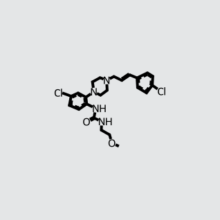 COCCNC(=O)Nc1ccc(Cl)cc1N1CCN(C/C=C/c2ccc(Cl)cc2)CC1